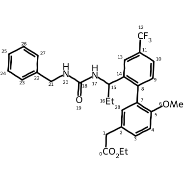 CCOC(=O)Cc1ccc(OC)c(-c2ccc(C(F)(F)F)cc2C(CC)NC(=O)NCc2ccccc2)c1